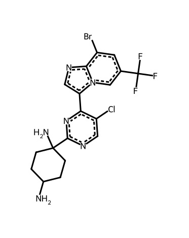 NC1CCC(N)(c2ncc(Cl)c(-c3cnc4c(Br)cc(C(F)(F)F)cn34)n2)CC1